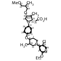 CCOc1cc(N2CCC(Oc3ccc(N4C[C@H](OCC(C)COC)[C@@H](C)[C@@H]4CC(=O)O)cc3)C(C)C2)c(Cl)cn1